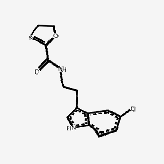 O=C(NCCc1c[nH]c2ccc(Cl)cc12)C1=NCCO1